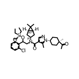 CC[Si](CC)(CC)OC(CN(C(=O)c1cnn([C@H]2CC[C@](C)(C(C)=O)CC2)c1C)[C@H]1C[C@@H]2[C@H](C1)C2(C)C)c1c(Cl)cccc1Cl